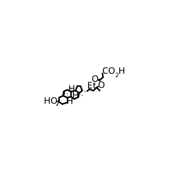 CC[C@@](C)(CCC[C@H]1CC[C@H]2[C@@H]3CC=C4C[C@@](C)(O)CC[C@]4(C)[C@H]3CC[C@]12C)OC(=O)CCC(=O)O